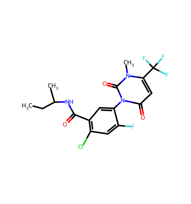 CCC(C)NC(=O)c1cc(-n2c(=O)cc(C(F)(F)F)n(C)c2=O)c(F)cc1Cl